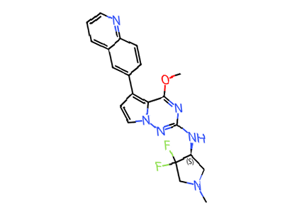 COc1nc(N[C@H]2CN(C)CC2(F)F)nn2ccc(-c3ccc4ncccc4c3)c12